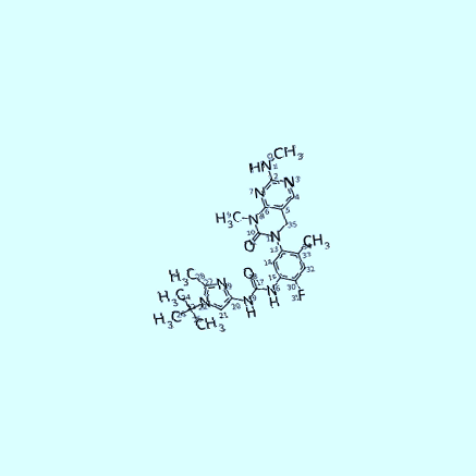 CNc1ncc2c(n1)N(C)C(=O)N(c1cc(NC(=O)Nc3cn(C(C)(C)C)c(C)n3)c(F)cc1C)C2